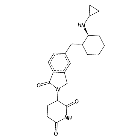 O=C1CCC(N2Cc3cc(C[C@H]4CCCC[C@@H]4NC4CC4)ccc3C2=O)C(=O)N1